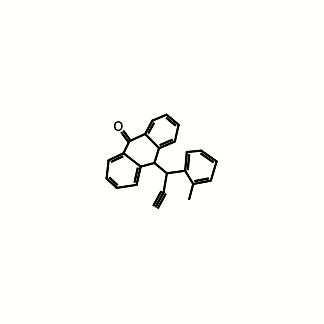 C#CC(c1ccccc1C)C1c2ccccc2C(=O)c2ccccc21